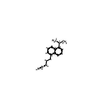 CN(C)c1cccc2c(CCN=[N+]=[N-])cccc12